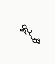 C=CCC1(O)CCCCC1CC/C(=C/CCc1ccc2c(c1)OCO2)CC